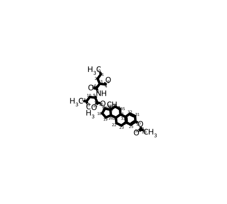 CCCC(C=O)C(=O)NC(CC(C)C)C(=O)O[C@H]1CCC2C3CCc4cc(OC(C)=O)ccc4C3CC[C@@]21C